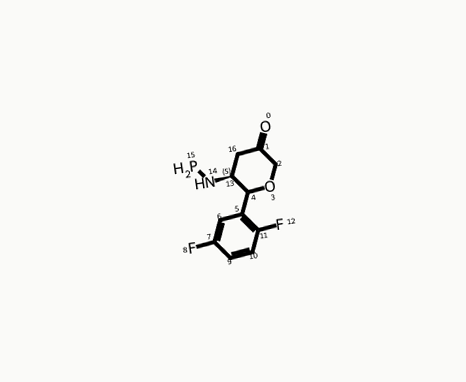 O=C1COC(c2cc(F)ccc2F)[C@@H](NP)C1